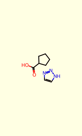 O=C(O)C1CCCC1.c1c[nH]nn1